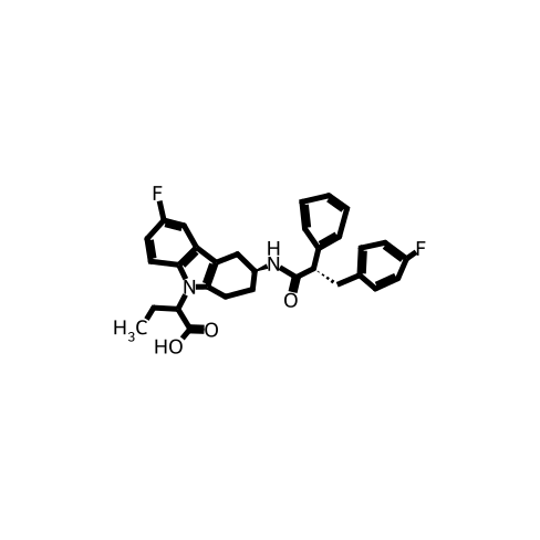 CCC(C(=O)O)n1c2c(c3cc(F)ccc31)C[C@@H](NC(=O)[C@@H](Cc1ccc(F)cc1)c1ccccc1)CC2